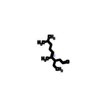 CCC(CC=O)/C(C)=C/CCC(C)C